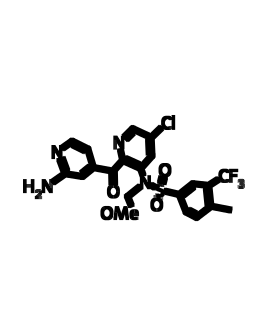 COCN(c1cc(Cl)cnc1C(=O)c1ccnc(N)c1)S(=O)(=O)c1ccc(C)c(C(F)(F)F)c1